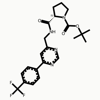 CC(C)(C)OC(=O)N1CCC[C@H]1C(=O)NCc1cc(-c2ccc(C(F)(F)F)cc2)ncn1